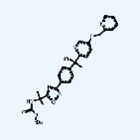 CC(C)C(C)(c1ccc(-c2noc(C(C)(C)NC(=O)OC(C)(C)C)n2)cc1)c1ccc(OCc2ccccn2)cn1